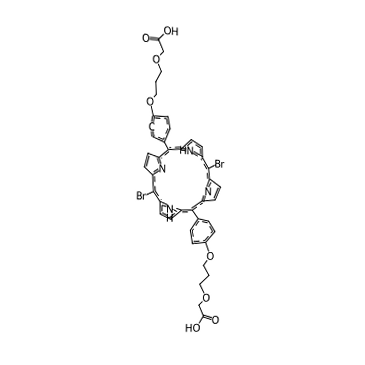 O=C(O)COCCCOc1ccc(-c2c3nc(c(Br)c4ccc([nH]4)c(-c4ccc(OCCCOCC(=O)O)cc4)c4nc(c(Br)c5ccc2[nH]5)C=C4)C=C3)cc1